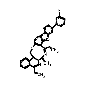 C=CC1=NC2C(=C)/N=C(/C=C)c3c(ccc4c3sc3cc(-c5cccc(F)c5)ccc34)CCC2c2ccccc21